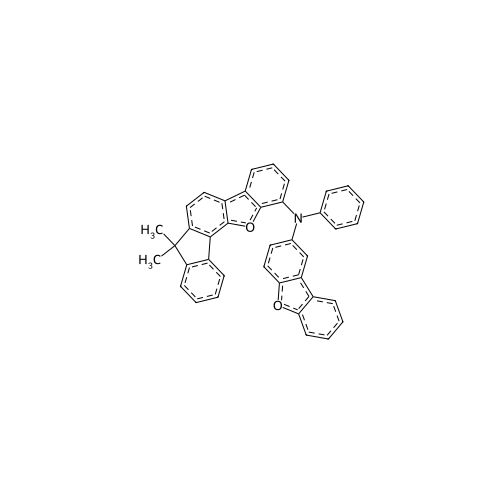 CC1(C)c2ccccc2-c2c1ccc1c2oc2c(N(c3ccccc3)c3ccc4oc5ccccc5c4c3)cccc21